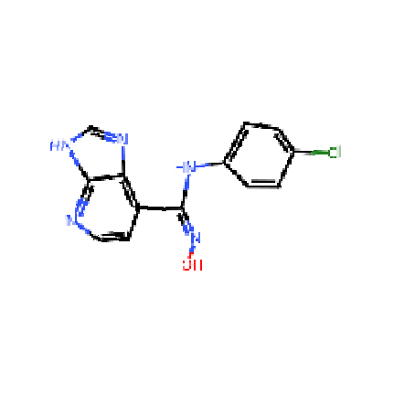 O/N=C(/Nc1ccc(Cl)cc1)c1ccnc2[nH]cnc12